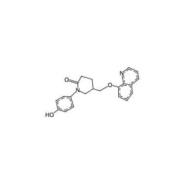 O=C1CCC(COc2cccc3cccnc23)CN1c1ccc(O)cc1